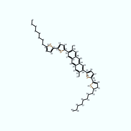 CCCCCCCCc1ccc(-c2ccc(-c3cc4cc5cc(C)c(-c6ccc(C7=CCC(CCCCCCCC)S7)s6)cc5cc4cc3C)s2)s1